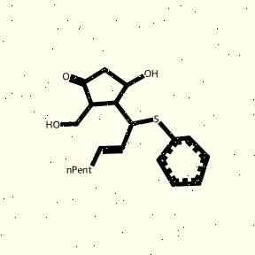 CCCCC/C=C/C(Sc1ccccc1)C1C(O)CC(=O)C1CO